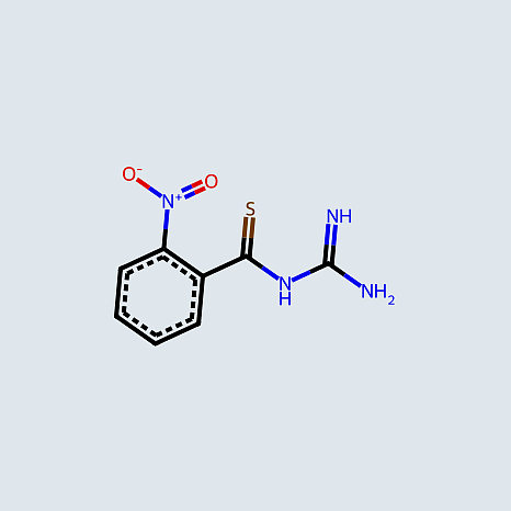 N=C(N)NC(=S)c1ccccc1[N+](=O)[O-]